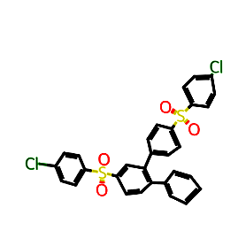 O=S(=O)(c1ccc(Cl)cc1)c1ccc(-c2cc(S(=O)(=O)c3ccc(Cl)cc3)ccc2-c2ccccc2)cc1